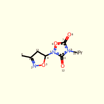 CC1=NOC(n2oc(=O)n(C(C)C)c2=O)C1